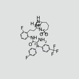 C[C@@H]1C2CCCS(=O)(=O)N1C(CCc1c(F)cccc1NC(=O)[C@@H](N)[C@@H](c1ccc(F)cc1)c1ccc(C(F)(F)F)cc1)CN2